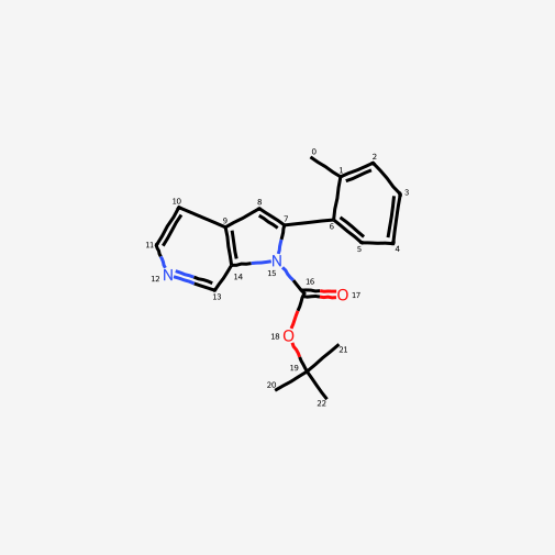 Cc1ccccc1-c1cc2ccncc2n1C(=O)OC(C)(C)C